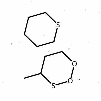 C1CCSCC1.CC1CCOOS1